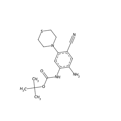 CC(C)(C)OC(=O)Nc1cc(N2CCSCC2)c(C#N)cc1N